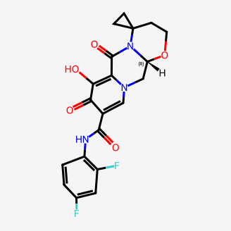 O=C(Nc1ccc(F)cc1F)c1cn2c(c(O)c1=O)C(=O)N1[C@@H](C2)OCCC12CC2